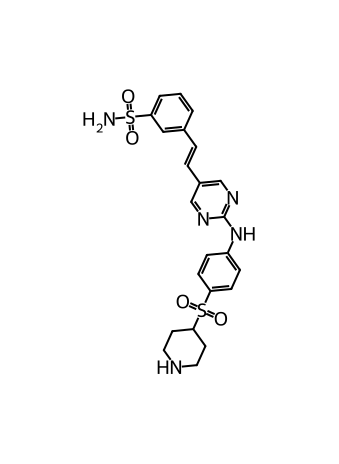 NS(=O)(=O)c1cccc(C=Cc2cnc(Nc3ccc(S(=O)(=O)C4CCNCC4)cc3)nc2)c1